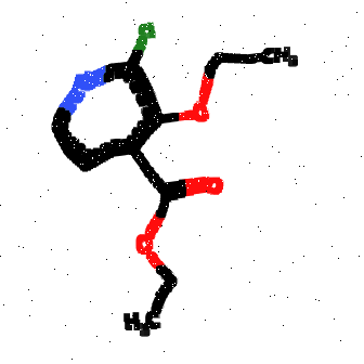 CCOC(=O)c1ccnc(Cl)c1OCC